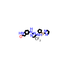 O=C1Cc2cc(Nc3ncc(C(F)(F)F)c(NC4CCCC4Sc4ncccn4)n3)ccc2N1